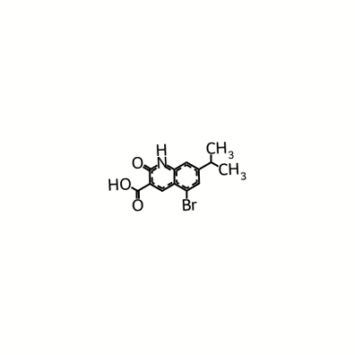 CC(C)c1cc(Br)c2cc(C(=O)O)c(=O)[nH]c2c1